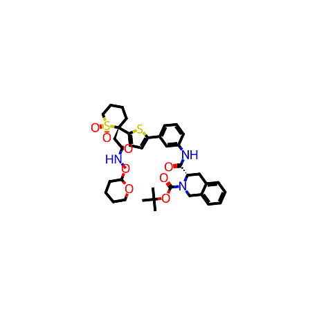 CC(C)(C)OC(=O)N1Cc2ccccc2C[C@H]1C(=O)Nc1cccc(-c2ccc([C@@]3(CC(=O)NOC4CCCCO4)CCCCS3(=O)=O)s2)c1